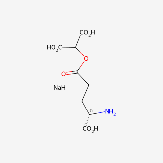 N[C@@H](CCC(=O)OC(C(=O)O)C(=O)O)C(=O)O.[NaH]